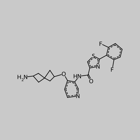 NC1CC2(C1)CC(Oc1ccncc1NC(=O)c1csc(-c3c(F)cccc3F)n1)C2